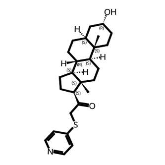 C[C@]12CC[C@@H](O)C[C@@H]1CC[C@@H]1[C@@H]2CC[C@]2(C)[C@@H](C(=O)CSc3ccncc3)CC[C@@H]12